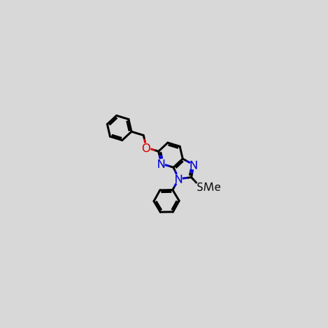 CSc1nc2ccc(OCc3ccccc3)nc2n1-c1ccccc1